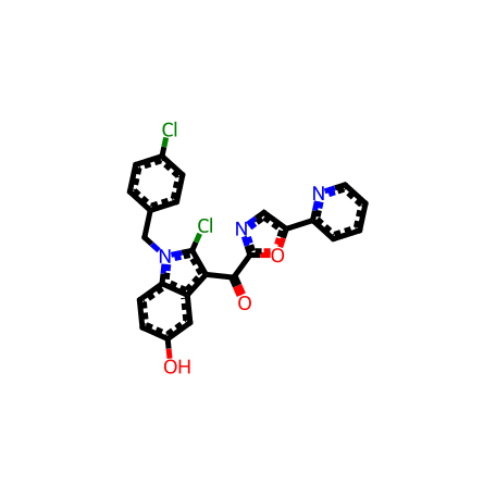 O=C(c1ncc(-c2ccccn2)o1)c1c(Cl)n(Cc2ccc(Cl)cc2)c2ccc(O)cc12